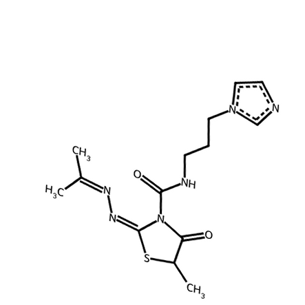 CC(C)=NN=C1SC(C)C(=O)N1C(=O)NCCCn1ccnc1